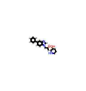 O=C(C[C@H]1NCCC[C@@H]1O)Cn1cnc2cc(-c3ccccc3)ccc21